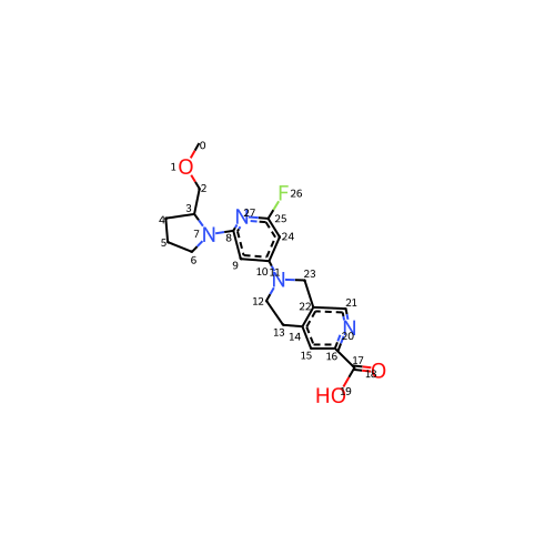 COCC1CCCN1c1cc(N2CCc3cc(C(=O)O)ncc3C2)cc(F)n1